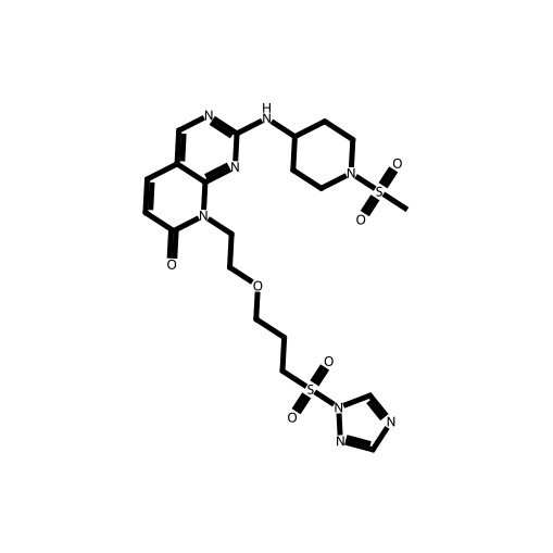 CS(=O)(=O)N1CCC(Nc2ncc3ccc(=O)n(CCOCCCS(=O)(=O)n4cncn4)c3n2)CC1